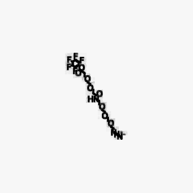 [N-]=[N+]=NCCOCCOCCOCCNC(=O)CCOCCOCCC(=O)Oc1c(F)c(F)c(F)c(F)c1F